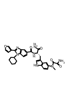 CN(C(=O)C(N)=O)c1ccc2[nH]cc(C[C@H](NC(=O)c3ccc4c(c3)nc(-c3ccoc3)n4C3CCCCC3)C(N)=O)c2c1